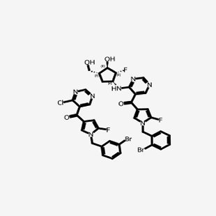 O=C(c1cc(F)n(Cc2cccc(Br)c2)c1)c1cncnc1Cl.O=C(c1cc(F)n(Cc2ccccc2Br)c1)c1cncnc1N[C@@H]1C[C@H](CO)[C@@H](O)[C@@H]1F